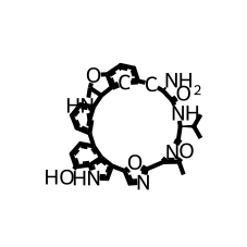 Cc1oc2nc1-c1ncc(o1)-c1c[nH]c3c(O)ccc(c13)-c1cccc3c1NC1Oc4ccc(cc4C31)C[C@H](N)C(=O)N[C@H]2C(C)C